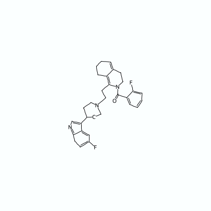 O=C(c1ccccc1F)N1CCC2=CCCCC2=C1CCN1CCC(C2=CN=C3CC=C(F)C=C23)CC1